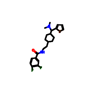 CN(C)C(c1cccs1)C1CCC(CCNC(=O)c2ccc(F)c(F)c2)CC1